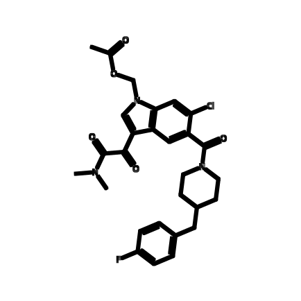 CC(=O)OCn1cc(C(=O)C(=O)N(C)C)c2cc(C(=O)N3CCC(Cc4ccc(F)cc4)CC3)c(Cl)cc21